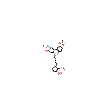 CCS(=O)(=O)c1ccc(F)c(-c2cn(C)c(=O)cc2OCCCCc2cccc(O)c2C)c1